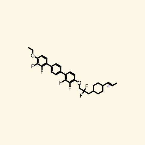 C/C=C/C1CCC(CC(F)(F)COc2ccc(-c3ccc(-c4ccc(OCC)c(F)c4F)cc3)c(F)c2F)CC1